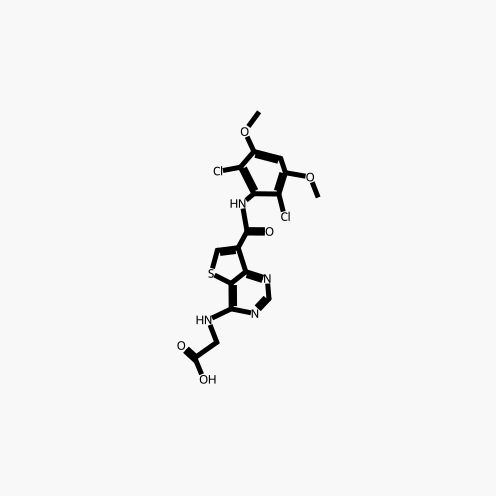 COc1cc(OC)c(Cl)c(NC(=O)c2csc3c(NCC(=O)O)ncnc23)c1Cl